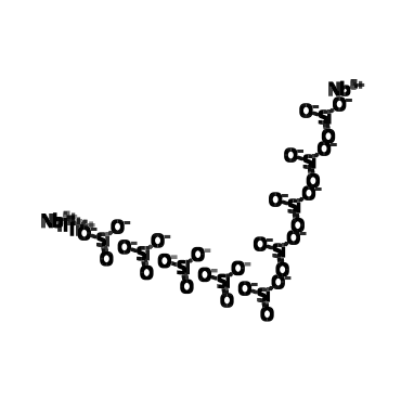 O=[Si]([O-])[O-].O=[Si]([O-])[O-].O=[Si]([O-])[O-].O=[Si]([O-])[O-].O=[Si]([O-])[O-].O=[Si]([O-])[O-].O=[Si]([O-])[O-].O=[Si]([O-])[O-].O=[Si]([O-])[O-].[Nb+5].[Nb+5].[Ti+4].[Ti+4]